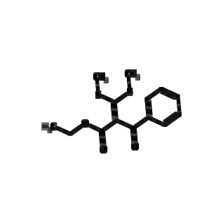 CCOC(=O)C(C(=O)c1ccccc1)=C(SC)SC